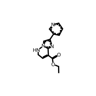 CCOC(=O)C1=CCNn2cc(-c3cccnc3)nc21